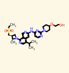 CCS(=O)(=O)C[C@H]1CN(c2ncc(C(C)C)c3cc(Nc4ccnc(N5CCC(OCCO)CC5)n4)ncc23)[C@@H]1C